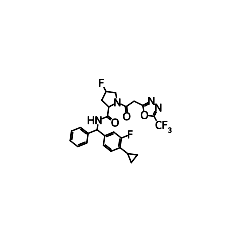 O=C(NC(c1ccccc1)c1ccc(C2CC2)c(F)c1)C1CC(F)CN1C(=O)Cc1nnc(C(F)(F)F)o1